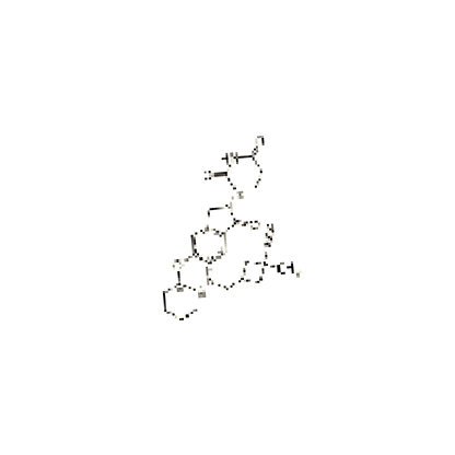 CC1(C#N)CC(CN[C@@H]2CCCC[C@H]2Oc2ccc3c(c2)CN([C@H]2CCC(=O)NC2=O)C3=O)C1